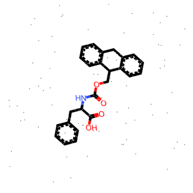 O=C(NC(Cc1ccccc1)C(=O)O)OCC1c2ccccc2Cc2ccccc21